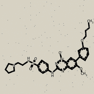 CCCCOc1cccc(-c2cc3c(cc2OC)nc(Nc2ccc(S(=O)(=O)NCCN4CCCC4)cc2)n[n+]3[O-])c1